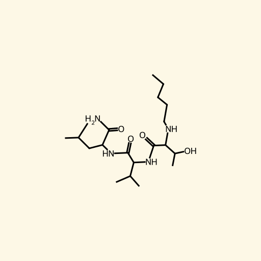 CCCCCNC(C(=O)NC(C(=O)NC(CC(C)C)C(N)=O)C(C)C)C(C)O